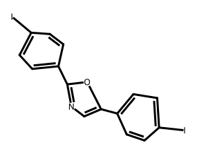 Ic1ccc(-c2cnc(-c3ccc(I)cc3)o2)cc1